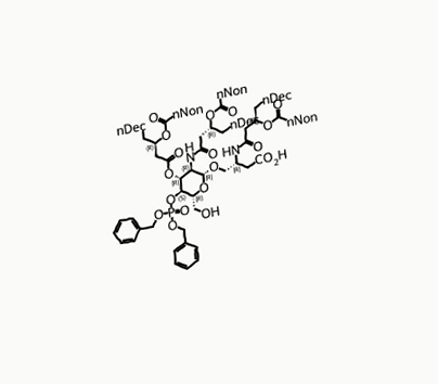 CCCCCCCCCCC[C@H](CC(=O)N[C@@H](CO[C@@H]1O[C@H](CO)[C@@H](OP(=O)(OCc2ccccc2)OCc2ccccc2)[C@H](OC(=O)C[C@@H](CCCCCCCCCCC)OC(=O)CCCCCCCCC)[C@H]1NC(=O)C[C@@H](CCCCCCCCCCC)OC(=O)CCCCCCCCC)CC(=O)O)OC(=O)CCCCCCCCC